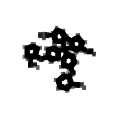 Nc1ccc2c(c1)C(c1ccc(Oc3ccccc3N)cc1)(c1ccc(Oc3ccccc3N)cc1)c1cc(N)ccc1-2